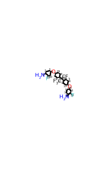 Nc1ccc(Oc2ccc(C(c3ccc(Oc4ccc(N)c(F)c4)cc3)(C(F)(F)F)C(F)(F)F)cc2)cc1F